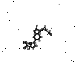 Cc1cc2cc(N3N=CC(C)(C(=O)O)N3)ccc2n1C1CC1C#N